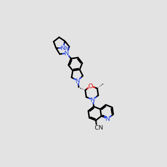 C[C@@H]1CN(c2ccc(C#N)c3ncccc23)C[C@H](CN2Cc3ccc(N4CC5CCC(C4)N5)cc3C2)O1